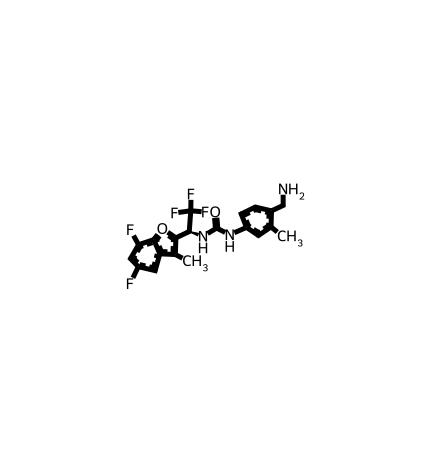 Cc1cc(NC(=O)N[C@@H](c2oc3c(F)cc(F)cc3c2C)C(F)(F)F)ccc1CN